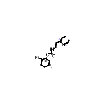 C/C=N\C(=C/C)CCNC(=O)O[C@@H]1C[C@H](C)CCC1CC